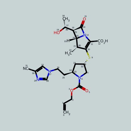 C=CCOC(=O)N1C[C@@H](SC2=C(C(=O)O)N3C(=O)[C@H]([C@@H](C)O)[C@H]3[C@H]2C)C[C@@H]1CCn1cnc(C#N)c1